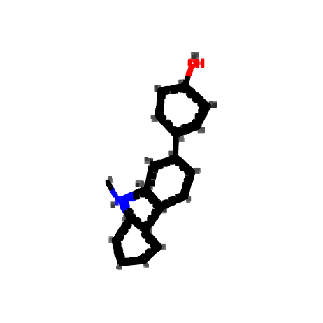 Cn1c2ccccc2c2ccc(-c3ccc(O)cc3)cc21